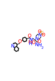 CS(=O)(=O)N1CCN([C@](O)(CNC(=O)c2ccc(OCc3ccnc4ccccc34)cc2)C(N)=O)CC1